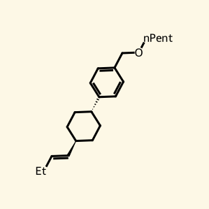 CCC=C[C@H]1CC[C@H](c2ccc(COCCCCC)cc2)CC1